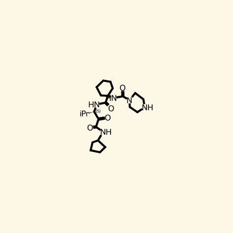 CC(C)[C@H](NC(=O)C1(NC(=O)N2CCNCC2)CCCCC1)C(=O)C(=O)NC1CCCC1